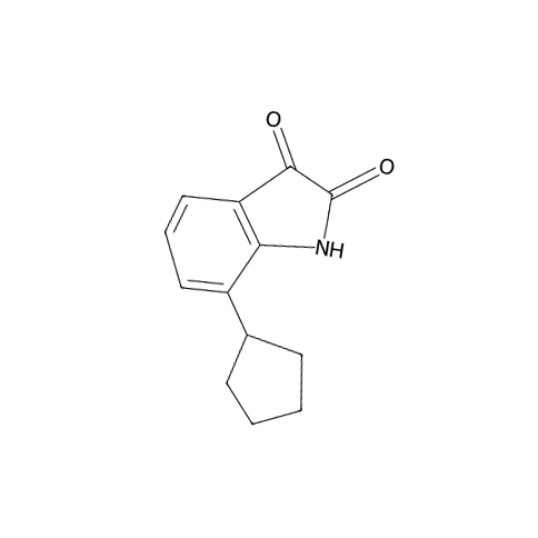 O=C1Nc2c(cccc2C2CCCC2)C1=O